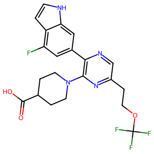 O=C(O)C1CCN(c2nc(CCOC(F)(F)F)cnc2-c2cc(F)c3cc[nH]c3c2)CC1